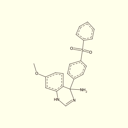 COc1ccc2c(c1)NC=NC2(N)c1ccc(S(=O)(=O)c2ccccc2)cc1